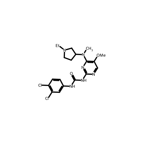 CCN1CCC(N(C)c2nc(NC(=O)Nc3ccc(Cl)c(Cl)c3)ncc2OC)C1